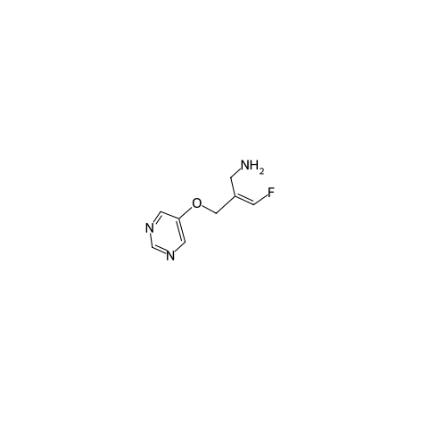 NC/C(=C\F)COc1cncnc1